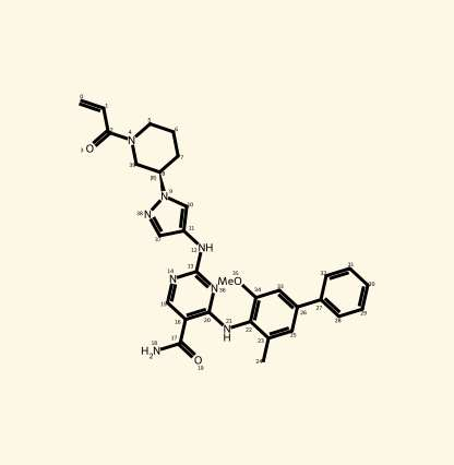 C=CC(=O)N1CCC[C@@H](n2cc(Nc3ncc(C(N)=O)c(Nc4c(C)cc(-c5ccccc5)cc4OC)n3)cn2)C1